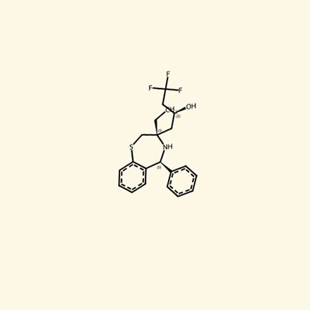 CC[C@]1(C[C@H](O)CC(F)(F)F)CSc2ccccc2[C@H](c2ccccc2)N1